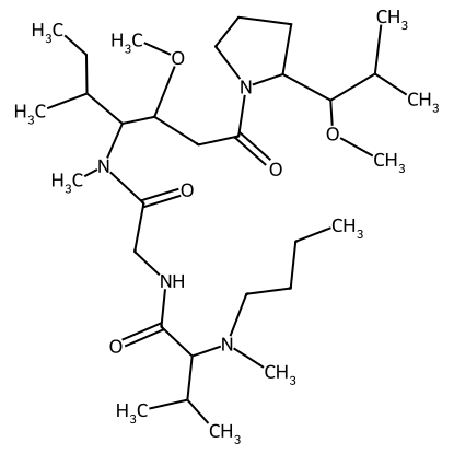 CCCCN(C)C(C(=O)NCC(=O)N(C)C(C(C)CC)C(CC(=O)N1CCCC1C(OC)C(C)C)OC)C(C)C